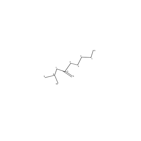 [CH2]CCCCC(=C)CC(C)C